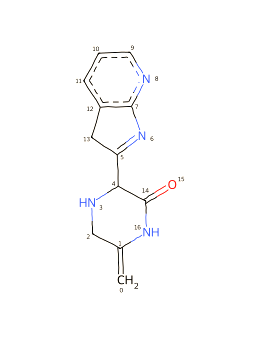 C=C1CNC(C2=Nc3ncccc3C2)C(=O)N1